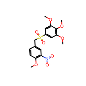 COc1ccc(CS(=O)(=O)c2cc(OC)c(OC)c(OC)c2)cc1[N+](=O)[O-]